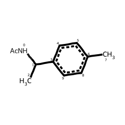 CC(=O)NC(C)c1ccc(C)cc1